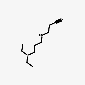 CCN(CC)CCCNCCC#N